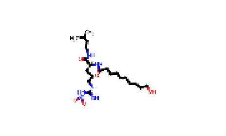 CC(C)CCNC(=O)[C@H](CCCNC(=N)N[N+](=O)[O-])NC(=O)CCCCCCCCCO